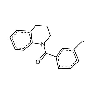 [CH2]c1cccc(C(=O)N2CCCc3ccccc32)c1